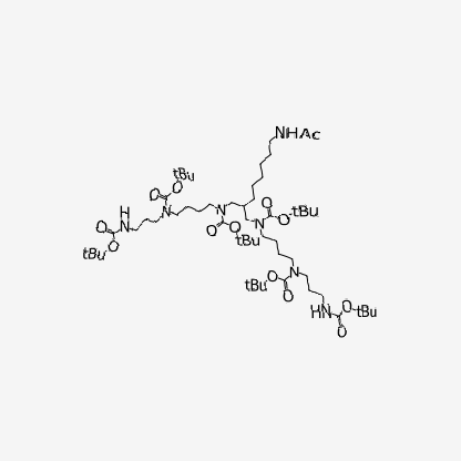 CC(=O)NCCCCCCC(CN(CCCCN(CCCNC(=O)OC(C)(C)C)C(=O)OC(C)(C)C)C(=O)OC(C)(C)C)CN(CCCCN(CCCNC(=O)OC(C)(C)C)C(=O)OC(C)(C)C)C(=O)OC(C)(C)C